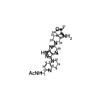 CC(=O)NCc1ccc2c(n1)CCCN2c1n[nH]c2nc(N3CCC4(CC3)CO[C@@H](C)[C@H]4N)cnc12